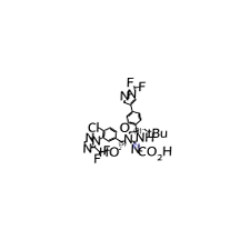 CC(C)(C)C[C@]1(c2ccc(-c3cnn(C(F)F)c3)cc2)N/C(=N\C(=O)O)N([C@H](CO)c2ccc(Cl)c(-n3ncnc3C(F)F)c2)C1=O